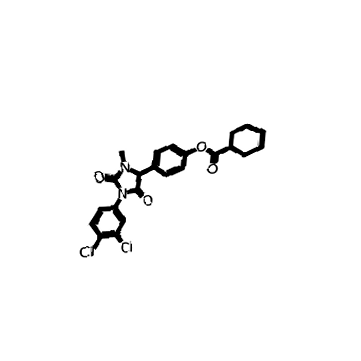 CN1C(=O)N(c2ccc(Cl)c(Cl)c2)C(=O)C1c1ccc(OC(=O)C2CCCCC2)cc1